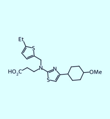 CCc1ccc(CN(CCC(=O)O)c2nc(C3CCC(OC)CC3)cs2)s1